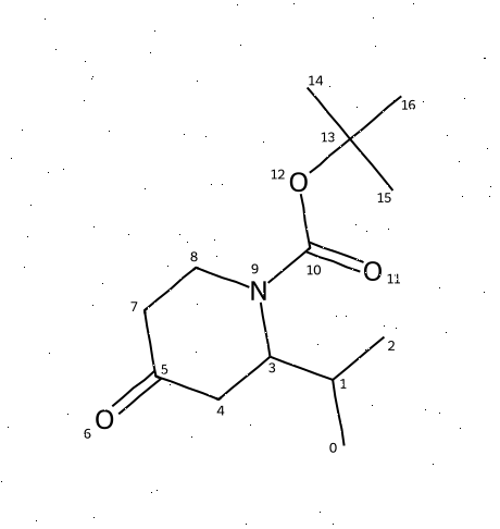 CC(C)C1CC(=O)CCN1C(=O)OC(C)(C)C